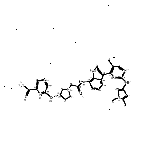 Cc1cnc(Nc2cc(C)n(C)n2)nc1-c1c[nH]c2c(NC(=O)CN3CC[C@H](Oc4cncc(C(N)=O)n4)C3)cccc12